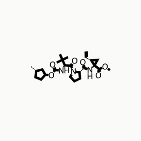 C=C[C@@H]1C[C@]1(NC(=O)[C@@H]1CCCN1C(=O)[C@@H](NC(=O)OC1CC[C@H](C)C1)C(C)(C)C)C(=O)OC